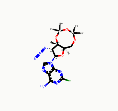 CC(C)[Si]1(C(C)C)OC[C@H]2O[C@@H](n3cnc4c(N)nc(Cl)nc43)[C@H](N=[N+]=[N-])[C@@H]2O[Si](C(C)C)(C(C)C)O1